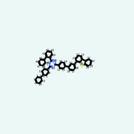 c1ccc(-c2ccc(-c3nc(-c4ccc(-c5cccc(-c6cccc7c6sc6ccccc67)c5)cc4)nc(-c4ccccc4-c4ccccc4)n3)cc2)cc1